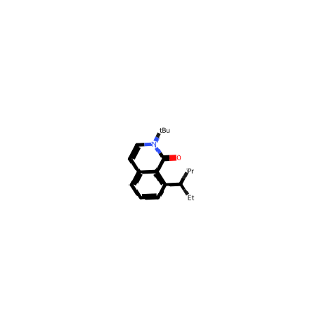 CCC(c1cccc2ccn(C(C)(C)C)c(=O)c12)C(C)C